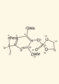 CCCCCC(C)(C)c1cc(OC)c(OP2(=O)OCCO2)c(OC)c1